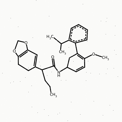 CCCC(C(=O)NC1C=CC(OC)=C(c2ccccc2C(C)C)C1)C1=CC2=C(CC1)OCO2